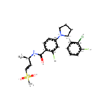 C[C@H](/C=C/S(C)(=O)=O)NC(=O)c1ccc(N2CCC[C@@H]2c2cccc(F)c2Cl)cc1F